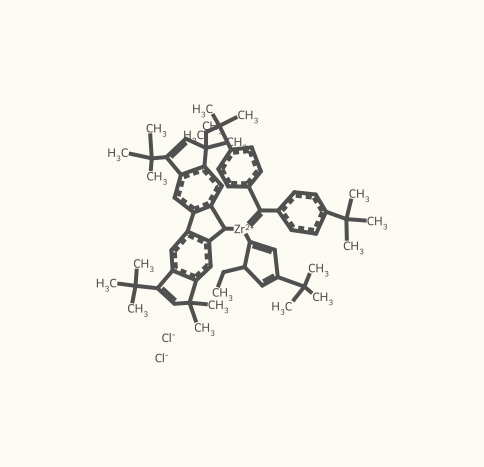 CCC1C=C(C(C)(C)C)C=[C]1[Zr+2](=[C](c1ccc(C(C)(C)C)cc1)c1ccc(C(C)(C)C)cc1)[CH]1c2cc3c(cc2-c2cc4c(cc21)C(C)(C)C=C4C(C)(C)C)C(C(C)(C)C)=CC3(C)C.[Cl-].[Cl-]